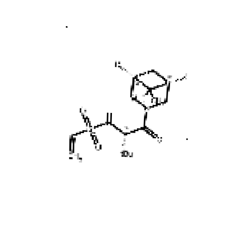 C=CS(=O)(=O)N[C@H](C(=O)N1C[C@H]2C[C@@H](C1)C2(C)C)C(C)(C)C